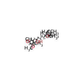 COc1cc(C[C@H](O)CCCCCO[Si](C)(C)C(C)(C)C)c(C)c(OC)c1